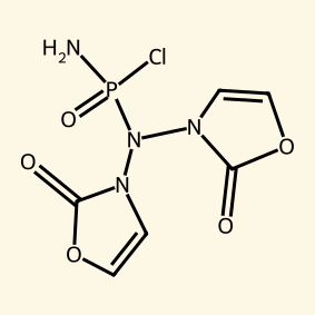 NP(=O)(Cl)N(n1ccoc1=O)n1ccoc1=O